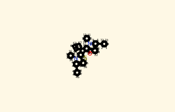 c1ccc(-c2ccc(N(c3ccccc3)c3cc4c(c5oc6ccccc6c35)-c3c(cc(N(c5ccccc5)c5ccc(-c6ccccc6)cc5)c5c3sc3ccccc35)C43C4CC5CC6CC3C56C4)cc2)cc1